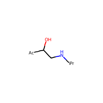 CC(=O)C(O)CNC(C)C